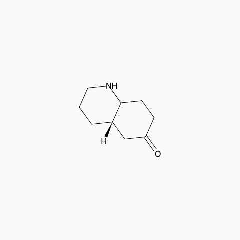 O=C1CCC2NCCC[C@H]2C1